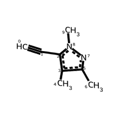 C#Cc1c(C)c(C)nn1C